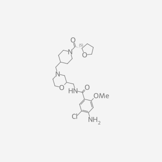 COc1cc(N)c(Cl)cc1C(=O)NCC1CN(CC2CCN(C(=O)[C@@H]3CCCO3)CC2)CCO1